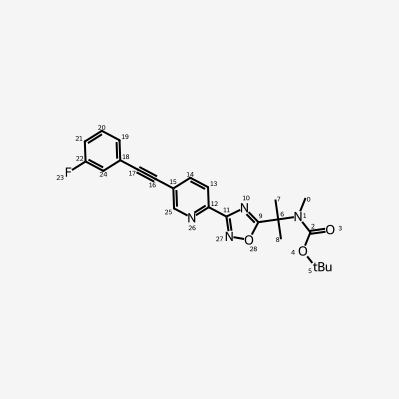 CN(C(=O)OC(C)(C)C)C(C)(C)c1nc(-c2ccc(C#Cc3cccc(F)c3)cn2)no1